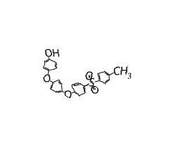 Cc1ccc(S(=O)(=O)c2ccc(Oc3ccc(Oc4ccc(O)cc4)cc3)cc2)cc1